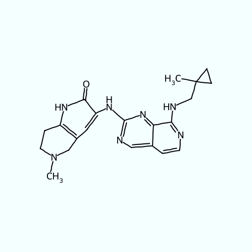 CN1CCc2[nH]c(=O)c(Nc3ncc4ccnc(NCC5(C)CC5)c4n3)cc2C1